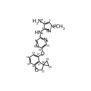 Cn1cc(N)c(Nc2cnc(Oc3cccc4c3C3(CC3)CO4)cn2)n1